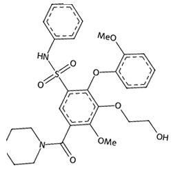 COc1ccccc1Oc1c(S(=O)(=O)Nc2ccccc2)cc(C(=O)N2CCOCC2)c(OC)c1OCCO